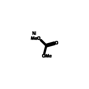 COC(=O)OC.[Ni]